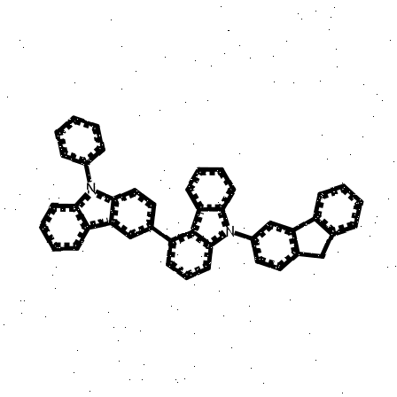 c1ccc(-n2c3ccccc3c3cc(-c4cccc5c4c4ccccc4n5-c4ccc5c(c4)-c4ccccc4C5)ccc32)cc1